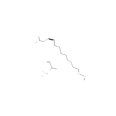 CCCCCC[C@@H](O)C/C=C\CCCCCCCCNNCC.O=C([O-])CC(C(=O)[O-])S(=O)(=O)O.[Na+].[Na+]